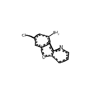 Bc1cc(Cl)cc2oc3cccnc3c12